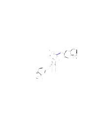 O=C1N=C(NCCc2ccc3c(c2)OCO3)S/C1=C\c1ccc2ncccc2c1